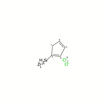 [Cl-].[Cl-].[SiH3]C1=CC=CC1.[Zr+2]